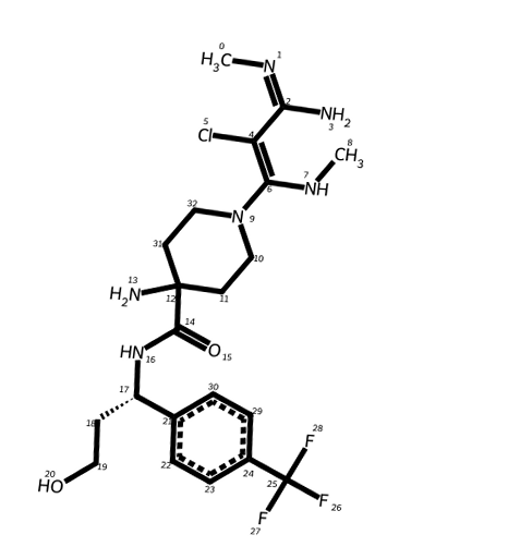 C/N=C(N)\C(Cl)=C(/NC)N1CCC(N)(C(=O)N[C@@H](CCO)c2ccc(C(F)(F)F)cc2)CC1